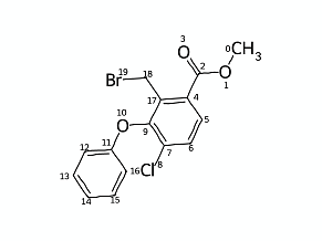 COC(=O)c1ccc(Cl)c(Oc2ccccc2)c1CBr